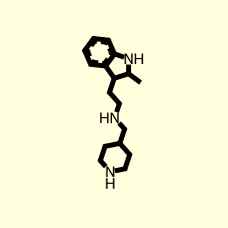 CC1Nc2ccccc2C1CCNCC1CCNCC1